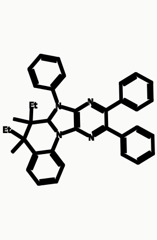 CCC1(C)c2ccccc2N2c3nc(-c4ccccc4)c(-c4ccccc4)nc3N(c3ccccc3)C2C1(C)CC